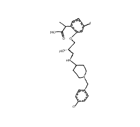 CC(C(=O)O)c1ccc(F)cc1OC[C@@H](O)CNC1CCN(Cc2ccc(Cl)cc2)CC1